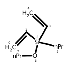 C=C[Si](C=C)(CCC)OCCC